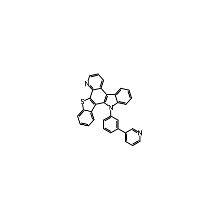 c1cncc(-c2cccc(-n3c4ccccc4c4c5cccnc5c5sc6ccccc6c5c43)c2)c1